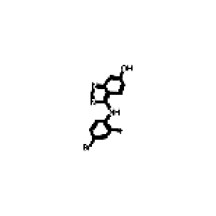 Oc1ccc2c(Nc3ccc(Br)cc3F)ncnc2c1